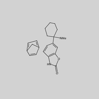 C1=CC2=CC=C1C2.CNC1(c2ccc3[nH]c(=O)oc3c2)CCCCC1